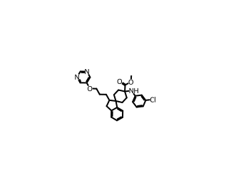 COC(=O)C1(Nc2cccc(Cl)c2)CCC2(CC1)c1ccccc1CC2CCCOc1cncnc1